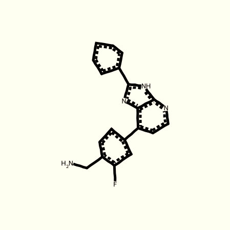 NCc1ccc(-c2ccnc3[nH]c(-c4ccccc4)nc23)cc1F